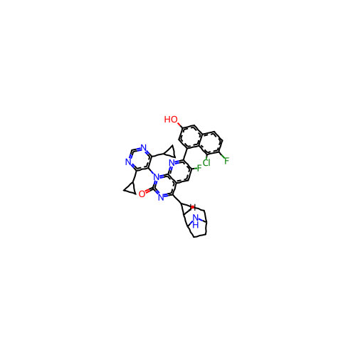 O=c1nc(C2C3CC4CCC(N4)[C@H]32)c2cc(F)c(-c3cc(O)cc4ccc(F)c(Cl)c34)nc2n1-c1c(C2CC2)ncnc1C1CC1